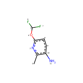 Cc1nc(OC(F)F)ccc1N